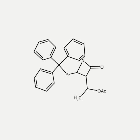 CC(=O)OC(C)C1C(=O)NC1SC(c1ccccc1)(c1ccccc1)c1ccccc1